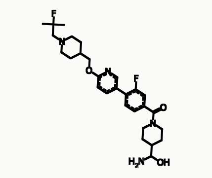 CC(C)(F)CN1CCC(COc2ccc(-c3ccc(C(=O)N4CCC(C(N)O)CC4)cc3F)cn2)CC1